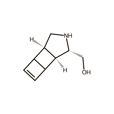 OC[C@H]1NC[C@@H]2C3C=CC3[C@@H]21